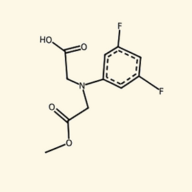 COC(=O)CN(CC(=O)O)c1cc(F)cc(F)c1